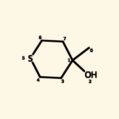 CC1(O)CCSCC1